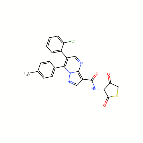 O=C(N[C@@H]1C(=O)CSC1=O)c1cnn2c(-c3ccc(C(F)(F)F)cc3)c(-c3ccccc3Cl)cnc12